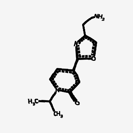 CC(C)n1ccc(-c2nc(CN)co2)cc1=O